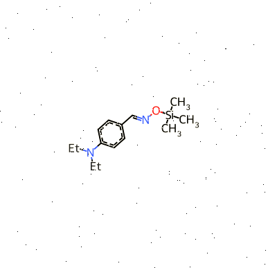 CCN(CC)c1ccc(C=NO[Si](C)(C)C)cc1